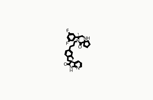 C[C@]1(c2cc(F)cc(F)c2)CNC2(CCCC2)C(=O)N1CCCc1ccc2c(c1)C[C@@]1(C2)C(=O)Nc2ncccc21